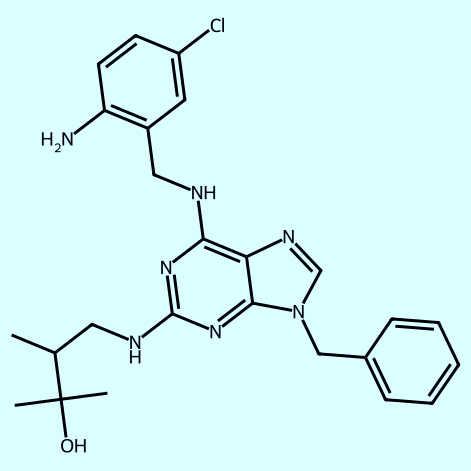 CC(CNc1nc(NCc2cc(Cl)ccc2N)c2ncn(Cc3ccccc3)c2n1)C(C)(C)O